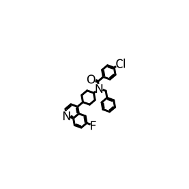 O=C(c1ccc(Cl)cc1)N(Cc1ccccc1)C1CCC(c2ccnc3ccc(F)cc23)CC1